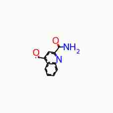 NC(=O)c1cc([C]=O)c2ccccc2n1